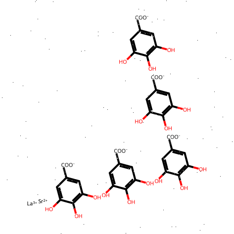 O=C([O-])c1cc(O)c(O)c(O)c1.O=C([O-])c1cc(O)c(O)c(O)c1.O=C([O-])c1cc(O)c(O)c(O)c1.O=C([O-])c1cc(O)c(O)c(O)c1.O=C([O-])c1cc(O)c(O)c(O)c1.[La+3].[Sr+2]